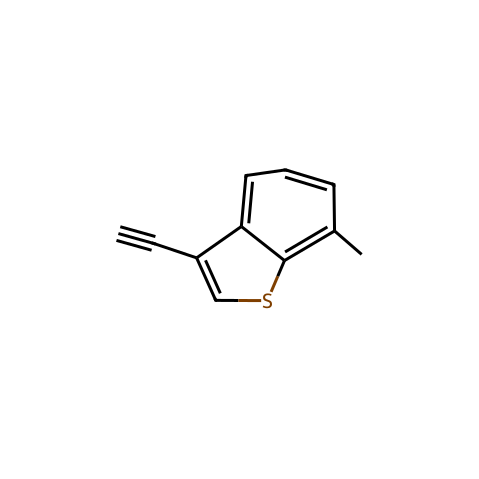 C#Cc1csc2c(C)cccc12